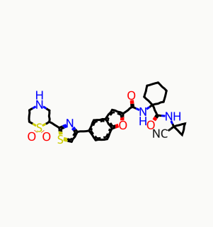 N#CC1(NC(=O)C2(NC(=O)c3cc4cc(-c5csc(C6CNCCS6(=O)=O)n5)ccc4o3)CCCCC2)CC1